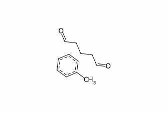 Cc1ccccc1.O=CCCCC=O